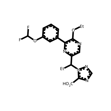 CCOc1ncc(C(CC)n2ncnc2C(=O)O)nc1-c1cccc(OC(F)F)c1